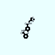 O=C(NCc1cscn1)c1ccc2c(c1)NC(=O)c1ccccc1S2